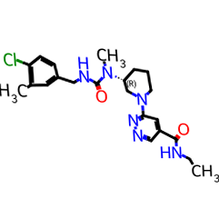 CCNC(=O)c1cnnc(N2CCC[C@@H](N(C)C(=O)NCc3ccc(Cl)c(C)c3)C2)c1